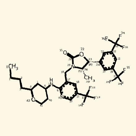 CCCCC1CC(Nc2ncc(C(F)(F)F)cc2CN2C(=O)O[C@H](c3cc(C(F)(F)F)cc(C(F)(F)F)c3)[C@@H]2C)CCO1